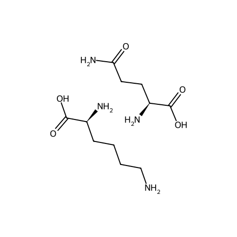 NC(=O)CC[C@H](N)C(=O)O.NCCCC[C@H](N)C(=O)O